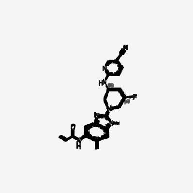 C=CC(=O)Nc1cc2nc(N3C[C@H](F)C[C@@H](Nc4ccc(C#N)cn4)C3)n(C)c2cc1C